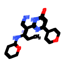 CC/C(NC1CCCCO1)=C(/C=N)c1nc(C2CCOCC2)cc(=O)[nH]1